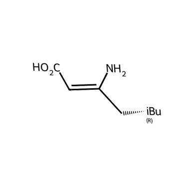 CC[C@@H](C)CC(N)=CC(=O)O